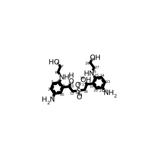 Nc1ccc(NCCO)c(C(O)CS(=O)(=O)CC(O)c2cc(N)ccc2NCCO)c1